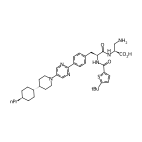 CCC[C@H]1CC[C@H](C2CCN(c3cnc(-c4ccc(C[C@H](NC(=O)c5ccc(C(C)(C)C)s5)C(=O)N[C@@H](CN)C(=O)O)cc4)nc3)CC2)CC1